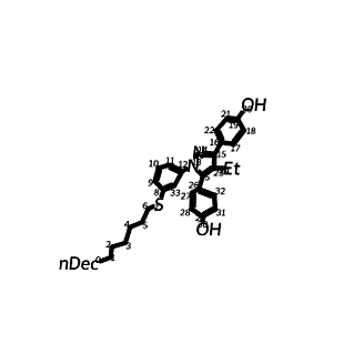 CCCCCCCCCCCCCCCCSc1cccc(-n2nc(-c3ccc(O)cc3)c(CC)c2-c2ccc(O)cc2)c1